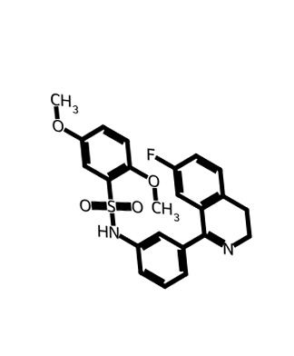 COc1ccc(OC)c(S(=O)(=O)Nc2cccc(C3=NCCc4ccc(F)cc43)c2)c1